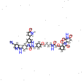 Cn1cc(-c2ccc(N(C(=O)NCc3ccc(OCCCCNC(=O)COc4cccc5c4C(=O)N(C4CCC(=O)NC4=O)C5=O)cc3)[C@H]3CC[C@H](Nc4ccc(C#N)cn4)CC3)cc2)ccc1=O